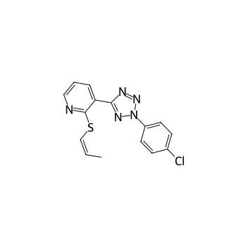 C/C=C\Sc1ncccc1-c1nnn(-c2ccc(Cl)cc2)n1